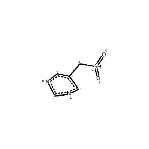 O=[SH](=O)Cc1cncnc1